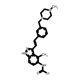 CCC(=O)Nc1ccc2[nH]nc(/C=C/c3cccc(CN4CCN(C)CC4)c3)c2c1C